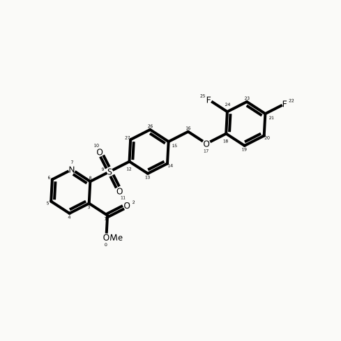 COC(=O)c1cccnc1S(=O)(=O)c1ccc(COc2ccc(F)cc2F)cc1